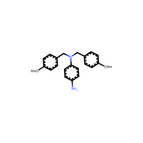 COc1ccc(CN(Cc2ccc(OC)cc2)c2ccc(N)cc2)cc1